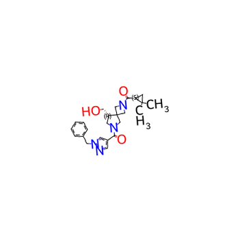 CC1(C)C[C@@H]1C(=O)N1CC2(CN(C(=O)c3cnn(Cc4ccccc4)c3)C[C@@H]2CO)C1